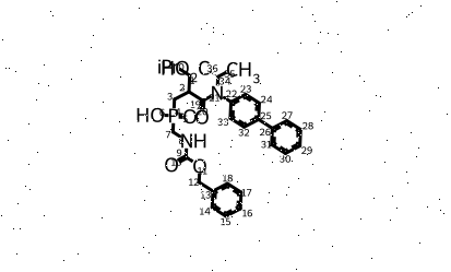 CC(C)CC(CP(=O)(O)CNC(=O)OCc1ccccc1)C(=O)N(c1ccc(-c2ccccc2)cc1)[C@@H](C)C(=O)O